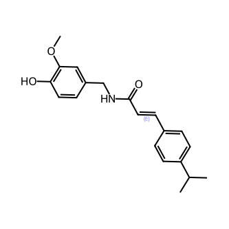 COc1cc(CNC(=O)/C=C/c2ccc(C(C)C)cc2)ccc1O